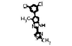 Cc1nc(C2=NC3C(C[C@H](c4cc(Cl)cc(Cl)c4)[C@@H]3C)N2)cs1